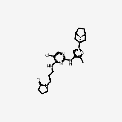 Cc1nn(C2CC3CCC(C2)N3C)cc1Nc1ncc(Cl)c(NCCCN2CCCC2=O)n1